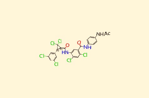 CC(=O)Nc1ccc(NC(=O)c2cc(NC(=O)[C@H]3[C@H](c4cc(Cl)cc(Cl)c4)C3(Cl)Cl)c(Cl)cc2Cl)cc1